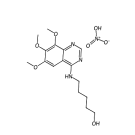 COc1cc2c(NCCCCCO)ncnc2c(OC)c1OC.O=[N+]([O-])O